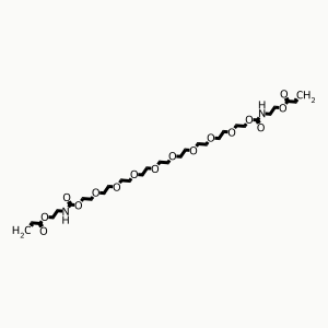 C=CC(=O)OCCNC(=O)OCCOCCOCCOCCOCCOCCOCCOCCOCCOC(=O)NCCOC(=O)C=C